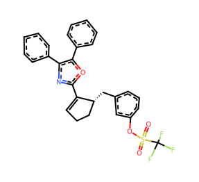 O=S(=O)(Oc1cccc(C[C@@H]2CCC=C2c2nc(-c3ccccc3)c(-c3ccccc3)o2)c1)C(F)(F)F